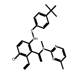 C=Cc1c(Cl)ccc(NSc2ccc(C(C)(C)C)cc2)c1C(=C)N(C)c1nccc(C)n1